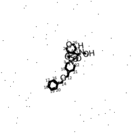 O=C(NO)C1(S(=O)(=O)N2CCC(COCc3ccccc3)CC2)CCOCC1